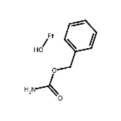 CCO.NC(=O)OCc1ccccc1